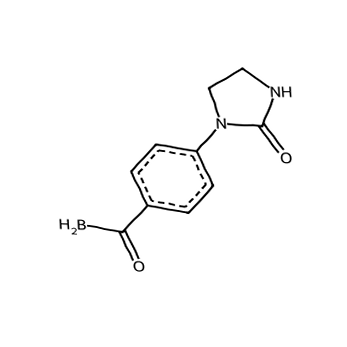 BC(=O)c1ccc(N2CCNC2=O)cc1